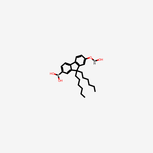 CCCCCCC1(CCCCCC)c2cc(OBO)ccc2-c2ccc(B(O)O)cc21